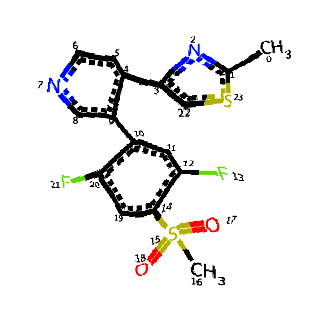 Cc1nc(-c2ccncc2-c2cc(F)c(S(C)(=O)=O)cc2F)cs1